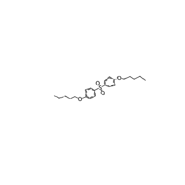 CCCCCOc1ccc(S(=O)(=O)c2ccc(OCCCCC)cc2)cc1